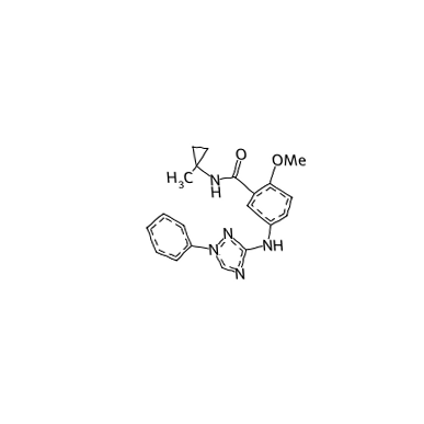 COc1ccc(Nc2ncn(-c3ccccc3)n2)cc1C(=O)NC1(C)CC1